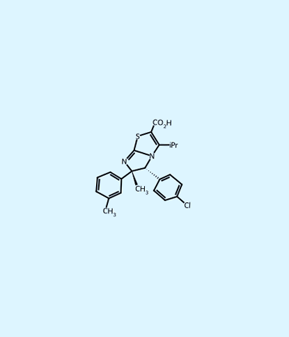 Cc1cccc([C@]2(C)N=C3SC(C(=O)O)=C(C(C)C)N3[C@@H]2c2ccc(Cl)cc2)c1